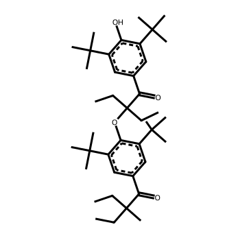 CCC(C)(CC)C(=O)c1cc(C(C)(C)C)c(OC(CC)(CC)C(=O)c2cc(C(C)(C)C)c(O)c(C(C)(C)C)c2)c(C(C)(C)C)c1